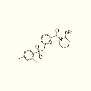 CCCC1CCCCN1C(=O)c1cccc(CS(=O)(=O)c2ccc(C)cc2C)n1